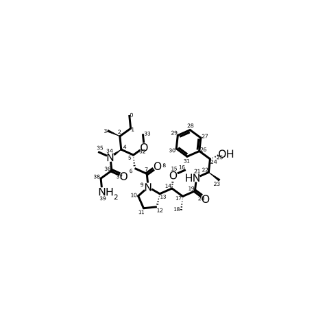 CC[C@H](C)[C@@H]([C@@H](CC(=O)N1CCC[C@H]1[C@H](OC)[C@@H](C)C(=O)N[C@H](C)[C@@H](O)c1ccccc1)OC)N(C)C(=O)CN